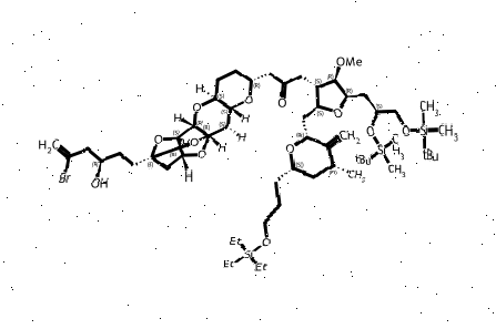 C=C(Br)C[C@H](O)CC[C@@]12C[C@H]3O[C@H]4[C@@H](O1)[C@H]1O[C@@H](CC(=O)C[C@@H]5[C@@H](OC)[C@@H](C[C@@H](CO[Si](C)(C)C(C)(C)C)O[Si](C)(C)C(C)(C)C)O[C@H]5C[C@H]5O[C@@H](CCCO[Si](CC)(CC)CC)C[C@@H](C)C5=C)CC[C@@H]1O[C@H]4[C@H]3O2